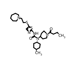 CCCC(=O)N1CCC(N(C(=O)Nc2ncc(SCCN3CCCCCC3)s2)[C@H]2CC[C@H](C)CC2)CC1